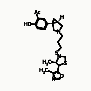 CC(=O)c1cc([C@]23C[C@H]2CN(CCCSN2CSC(c4ocnc4C)C2C)C3)ccc1O